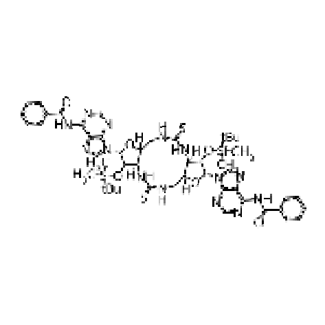 CC(C)(C)[Si](C)(C)O[C@@H]1[C@@H]2NC(=S)NC[C@H]3O[C@@H](n4cnc5c(NC(=O)c6ccccc6)ncnc54)[C@H](O[Si](C)(C)C(C)(C)C)[C@@H]3NC(=S)NC[C@H]2O[C@H]1n1cnc2c(NC(=O)c3ccccc3)ncnc21